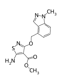 COC(=O)c1c(OCc2cccc3c2cnn3C)nsc1N